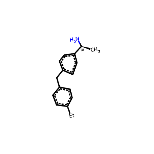 CCc1ccc(Cc2ccc([C@H](C)N)cc2)cc1